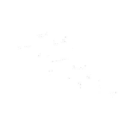 OCCn1cc(-c2cnc3ccc(Br)cc3c2Cl)cn1